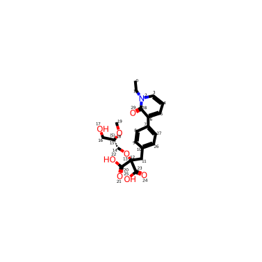 CCn1cccc(-c2ccc(CC(OC[C@H](CO)OC)(C(=O)O)C(=O)O)cc2)c1=O